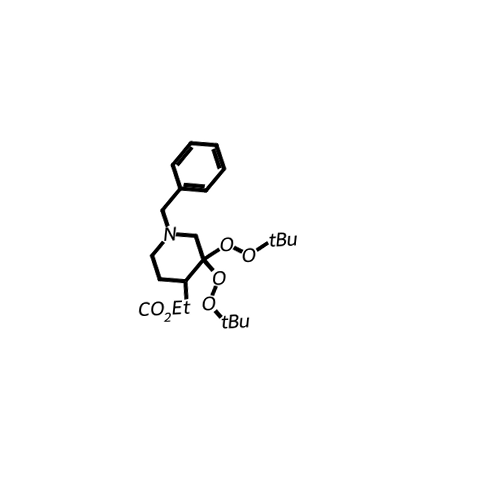 CCOC(=O)C1CCN(Cc2ccccc2)CC1(OOC(C)(C)C)OOC(C)(C)C